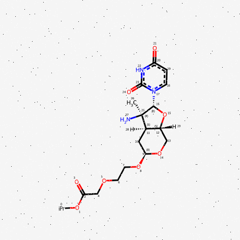 CC(C)OC(=O)COCCO[C@H]1C[C@@H]2[C@@H](CO1)O[C@@H](n1ccc(=O)[nH]c1=O)[C@]2(C)N